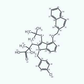 CC(C)(C)Sc1c(CC(C)(C)C(=O)O)n(Cc2ccc(Cl)cc2)c2cccc(OCc3ccc4ccccc4n3)c12